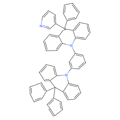 c1ccc(C2(c3ccccc3)c3ccccc3N(c3cccc(N4c5ccccc5[Si](c5ccccc5)(c5cccnc5)c5ccccc54)c3)c3ccccc32)cc1